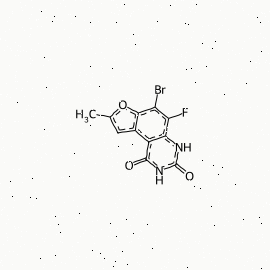 Cc1cc2c(o1)c(Br)c(F)c1[nH]c(=O)[nH]c(=O)c12